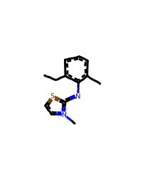 CCc1cccc(C)c1N=c1sccn1C